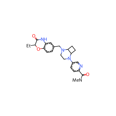 CCC1Oc2ccc(CN3CCN(c4ccc(C(=O)NC)nc4)C4CCC43)cc2NC1=O